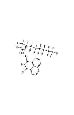 O=C1NC(=O)c2cccc3cccc1c23.O=S(=O)(O)C(F)(F)C(F)(F)C(F)(F)C(F)(F)C(F)(F)C(F)(F)C(F)(F)C(F)(F)F